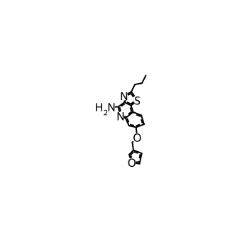 CCCc1nc2c(N)nc3cc(OCc4ccoc4)ccc3c2s1